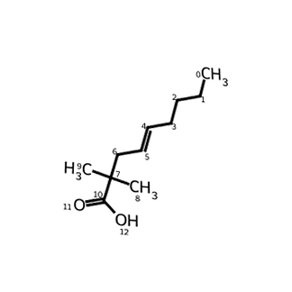 CCCCC=CCC(C)(C)C(=O)O